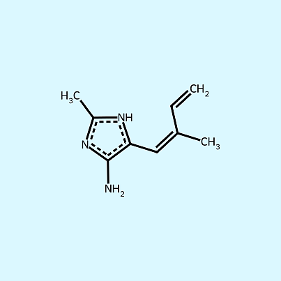 C=C/C(C)=C\c1[nH]c(C)nc1N